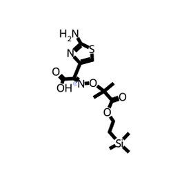 CC(C)(O/N=C(/C(=O)O)c1csc(N)n1)C(=O)OCC[Si](C)(C)C